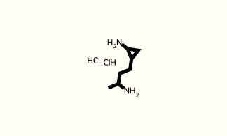 CC(N)CCC1CC1N.Cl.Cl